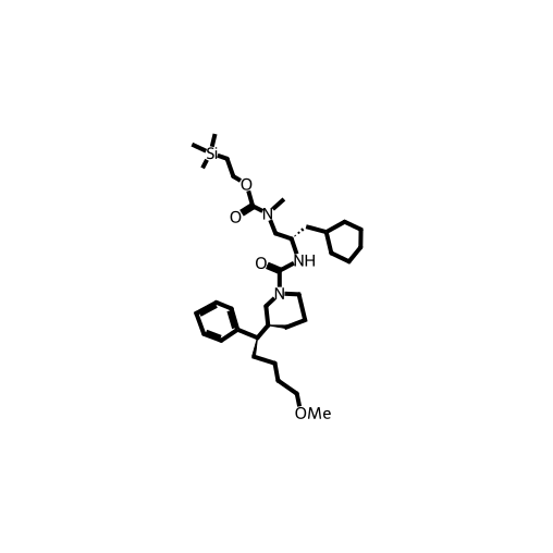 COCCCC[C@@H](c1ccccc1)[C@@H]1CCCN(C(=O)N[C@@H](CC2CCCCC2)CN(C)C(=O)OCC[Si](C)(C)C)C1